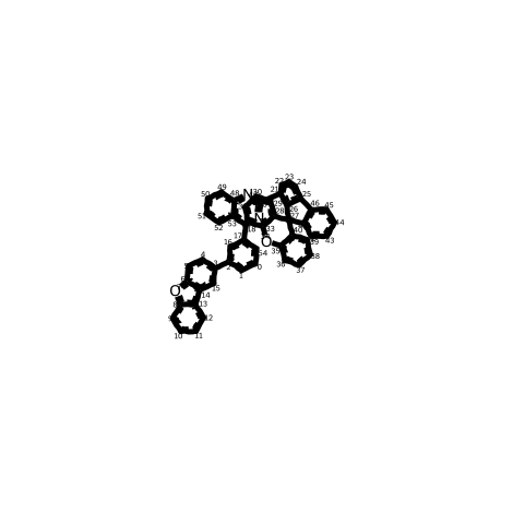 c1cc(-c2ccc3oc4ccccc4c3c2)cc(-c2nc(-c3cccc4c3C3(c5ccccc5Oc5ccccc53)c3ccccc3-4)nc3ccccc23)c1